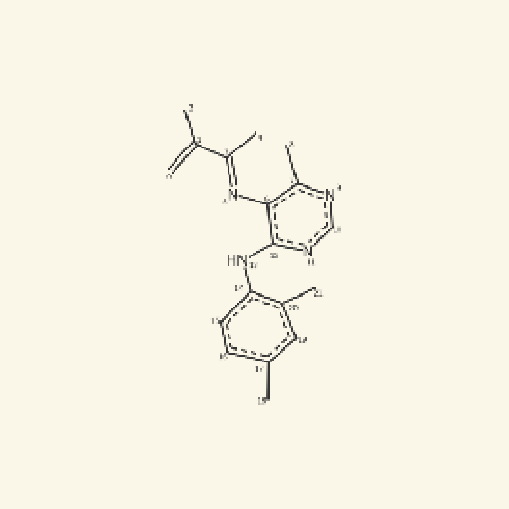 C=C(C)/C(C)=N/c1c(C)ncnc1Nc1ccc(C)cc1C